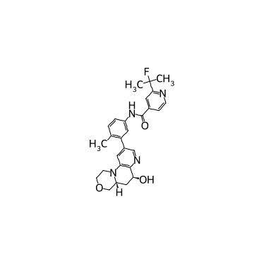 Cc1ccc(NC(=O)c2ccnc(C(C)(C)F)c2)cc1-c1cnc2c(c1)N1CCOC[C@H]1C[C@@H]2O